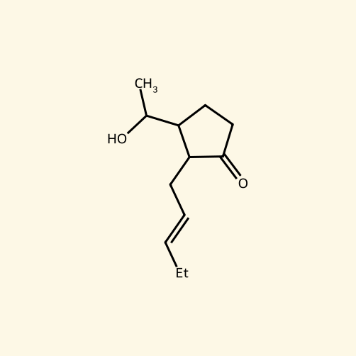 CC/C=C/CC1C(=O)CCC1C(C)O